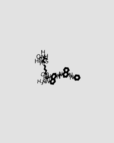 CC1(COC(=O)CCCC[C@H]2SC[C@H]3NC(=O)N[C@H]32)Nc2cccc3c(N=Nc4ccc(/N=N/c5ccccc5)c5ccccc45)ccc(c23)N1